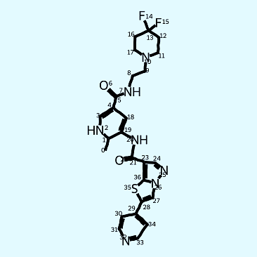 CC1NC=C(C(=O)NCCN2CCC(F)(F)CC2)C=C1NC(=O)c1cnn2cc(-c3ccncc3)sc12